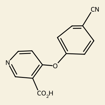 N#Cc1ccc(Oc2ccncc2C(=O)O)cc1